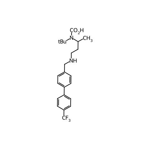 CC(CCNCc1ccc(-c2ccc(C(F)(F)F)cc2)cc1)N(C(=O)O)C(C)(C)C